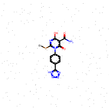 CCSc1nc(O)c(C(N)=O)c(=O)n1-c1ccc(-c2nnn[nH]2)cc1